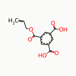 C=CCOC(=O)c1cc(C(=O)O)cc(C(=O)O)c1